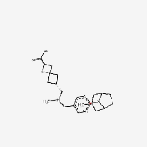 CC(C)C(=O)[C@H]1CC2(C[C@@H](CN(C)Cc3cnc(N4C5CCC4CN(C)C5)nc3)C2)C1